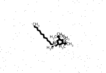 CCCCCCCCCCCC[Si](C)(C)Cc1cc(C(C)(C)C)c(S)c(C(C)(C)C)c1